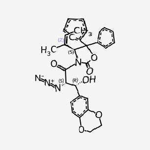 C/C=C(/C)[C@@H]1N(C(=O)[C@@H](N=[N+]=[N-])[C@H](O)c2ccc3c(c2)OCCO3)C(=O)OC1(c1ccccc1)c1ccccc1